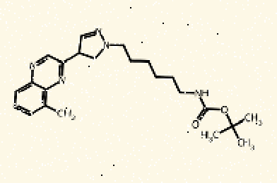 Cc1cccc2ncc(C3C=NN(CCCCCCNC(=O)OC(C)(C)C)C3)nc12